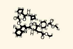 CCOC(=O)CCC(NC(=O)c1cc(OCC(=O)N2CCCC2C(=O)NC2CCC2)c2c(F)cccc2n1)C(=O)N1CCN(C(=O)OCC)CC1